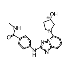 CNC(=O)c1ccc(Nc2nc3cccc(N4CC[C@@H](O)C4)n3n2)cc1